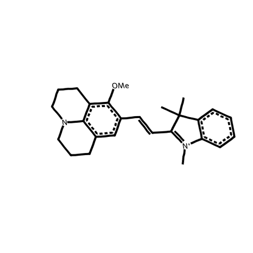 COc1c(/C=C/C2=[N+](C)c3ccccc3C2(C)C)cc2c3c1CCCN3CCC2